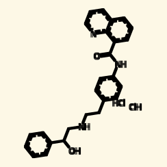 Cl.Cl.O=C(Nc1ccc(CCNCC(O)c2ccccc2)cc1)c1cccc2cccnc12